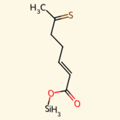 CC(=S)CCC=CC(=O)O[SiH3]